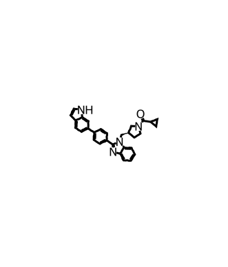 O=C(C1CC1)N1CC[C@@H](Cn2c(-c3ccc(-c4ccc5cc[nH]c5c4)cc3)nc3ccccc32)C1